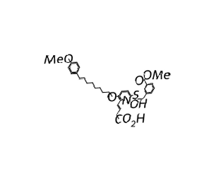 COC(=O)c1cccc(CC(O)Sc2ccc(OCCCCCCCCc3ccc(OC)cc3)c(C=CCC(=O)O)n2)c1